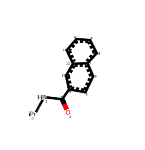 CC(C)BC(=O)c1ccc2ccccc2c1